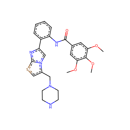 COc1cc(C(=O)Nc2ccccc2-c2cn3c(CN4CCNCC4)csc3n2)cc(OC)c1OC